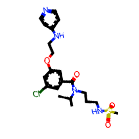 CC(C)N(CCCNS(C)(=O)=O)C(=O)c1cc(Cl)cc(OCCNc2ccncc2)c1